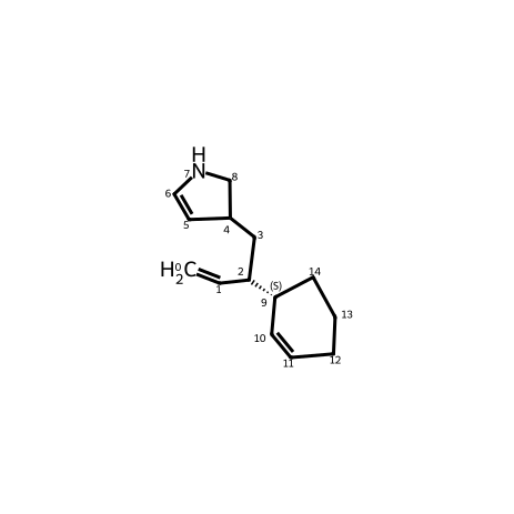 C=CC(CC1C=CNC1)[C@H]1C=CCCC1